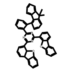 CC1(C)c2ccccc2-c2c(-c3ccccc3-c3nc(C4=CC=CC5c6ccccc6OC45)nc(-c4cccc5c4oc4ccccc45)n3)cccc21